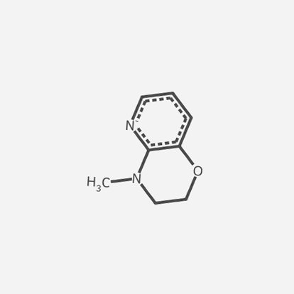 CN1CCOc2cccnc21